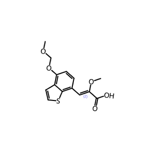 COCOc1ccc(/C=C(\OC)C(=O)O)c2sccc12